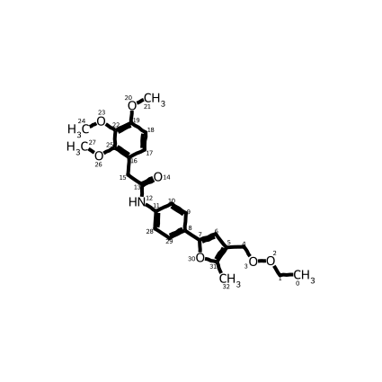 CCOOCc1cc(-c2ccc(NC(=O)Cc3ccc(OC)c(OC)c3OC)cc2)oc1C